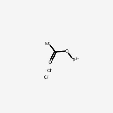 CCC(=O)[O][Ti+2].[Cl-].[Cl-]